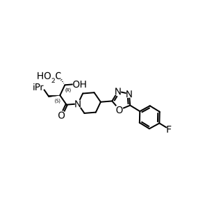 CC(C)C[C@H](C(=O)N1CCC(c2nnc(-c3ccc(F)cc3)o2)CC1)[C@@H](O)C(=O)O